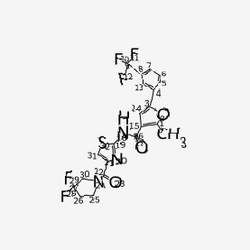 Cc1oc(-c2cccc(C(F)(F)F)c2)cc1C(=O)Nc1nc(C(=O)N2CCC(F)(F)C2)cs1